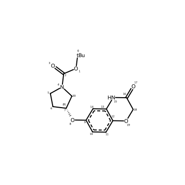 CC(C)(C)OC(=O)N1CC[C@@H](Oc2ccc3c(c2)NC(=O)CO3)C1